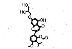 COc1ccc(-c2cc(=O)c3c(O)cc(OCC(O)CO)cc3o2)c(OC=O)c1C(C)C